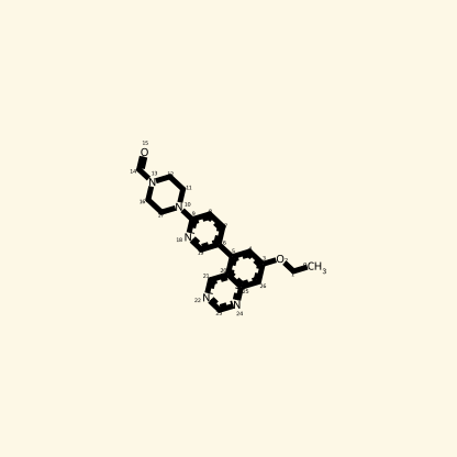 CCOc1cc(-c2ccc(N3CCN(C=O)CC3)nc2)c2cncnc2c1